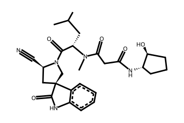 CC(C)C[C@@H](C(=O)N1C[C@]2(C[C@H]1C#N)C(=O)Nc1ccccc12)N(C)C(=O)CC(=O)N[C@H]1CCC[C@@H]1O